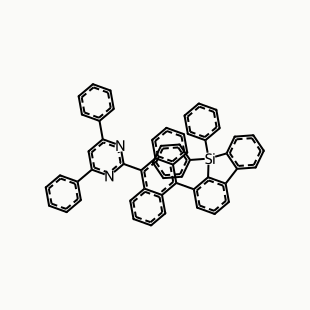 c1ccc(-c2cc(-c3ccccc3)nc(-c3c4ccccc4c(-c4cccc5c4[Si](c4ccccc4)(c4ccccc4)c4ccccc4-5)c4ccccc34)n2)cc1